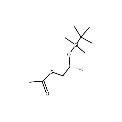 CC(=O)SC[C@@H](C)O[Si](C)(C)C(C)(C)C